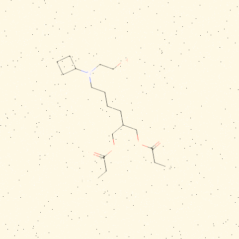 CCCCCCCCCCCC(=O)OCC(CCCCN(CCO)C1CCC1)COC(=O)CCCCCCCCCCC